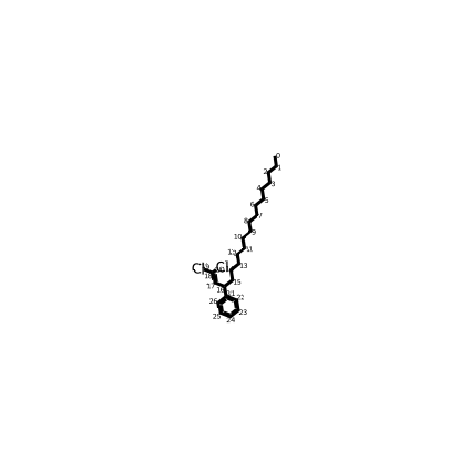 CCCCCCCCCCCCCCCCC(C=C(Cl)Cl)c1ccccc1